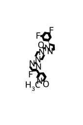 Cn1cc(-c2nc(N3CCN(C(=O)N4N=CC[C@H]4c4cc(F)cc(F)c4)CC3)ncc2F)ccc1=O